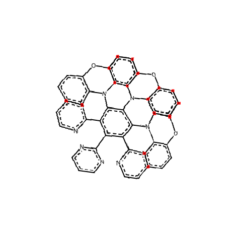 c1cnc(-c2c(-c3ncccn3)c(N3c4ccccc4Oc4ccccc43)c(N3c4ccccc4Oc4ccccc43)c(N3c4ccccc4Oc4ccccc43)c2-c2ncccn2)nc1